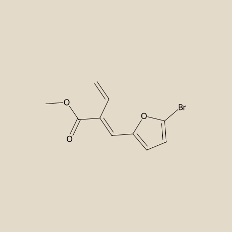 C=C/C(=C\c1ccc(Br)o1)C(=O)OC